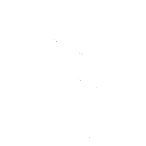 CC(C)(C)OC(=O)C(CCCCN)NC(=O)C1Cc2c([nH]c3ccccc23)C(S(=O)(=O)c2ccccc2)N1